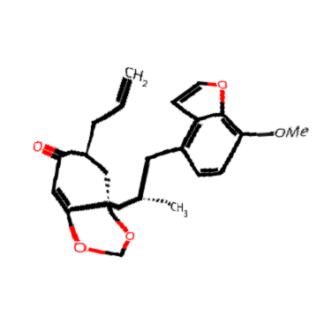 C=CC[C@H]1C[C@]2([C@@H](C)Cc3ccc(OC)c4occc34)OCOC2=CC1=O